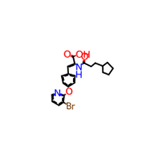 O=C(CCC1CCCC1)NC(=Cc1ccc(Oc2ncccc2Br)cc1)C(=O)O